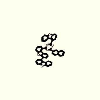 C1=CC2Sc3cccc(-c4cccc5c4oc4cccc(-c6nc(-c7ccc8ccccc8c7)nc(-c7cccc8sc9ccccc9c78)n6)c45)c3C2C=C1